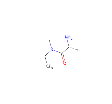 C[C@@H](N)C(=O)N(C)CC(F)(F)F